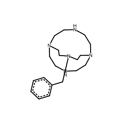 c1ccc(CN2CCN3CCNCCN(CCNCC3)CC2)cc1